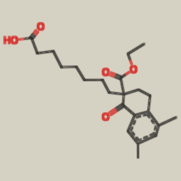 CCOC(=O)C1(CCCCCCCC(=O)O)CCc2c(C)cc(C)cc2C1=O